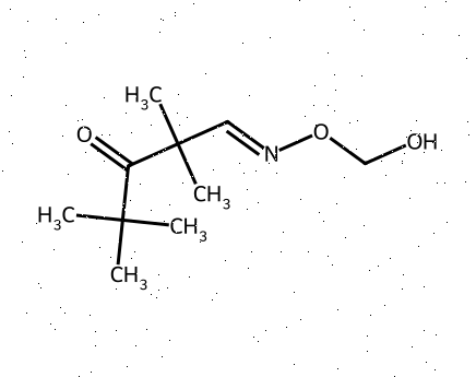 CC(C)(C)C(=O)C(C)(C)C=NOCO